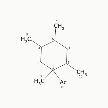 CC(=O)C1(C)CC(C)C(C)CC1C